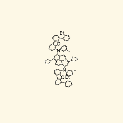 CCc1ccccc1-c1cccc2c1oc1c(N(c3cccc(C)c3)c3cc(C4CCCC4)c4ccc5c(N(c6cccc(C)c6)c6cccc7c6oc6c(-c8ccccc8CC)cccc67)cc(C6CCCC6)c6ccc3c4c65)cccc12